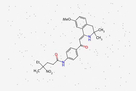 CCC(C)(CCC(=O)Nc1ccc(C(=O)/C=C2\NC(C)(C)Cc3ccc(OC)cc32)cc1)[N+](=O)[O-]